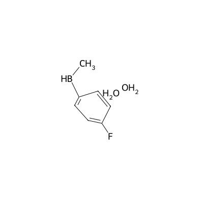 CBc1ccc(F)cc1.O.O